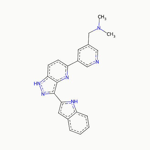 CN(C)Cc1cncc(-c2ccc3[nH]nc(-c4cc5ccccc5[nH]4)c3n2)c1